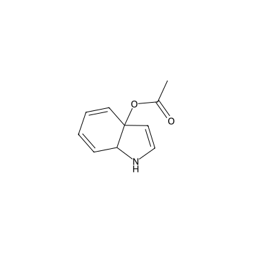 CC(=O)OC12C=CC=CC1NC=C2